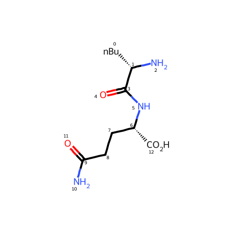 CCCC[C@H](N)C(=O)N[C@@H](CCC(N)=O)C(=O)O